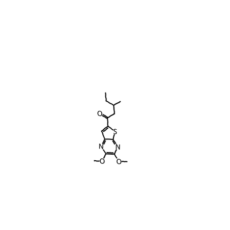 CCC(C)CC(=O)c1cc2nc(OC)c(OC)nc2s1